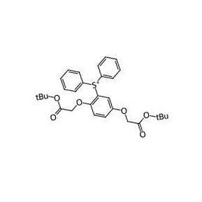 CC(C)(C)OC(=O)COc1ccc(OCC(=O)OC(C)(C)C)c([S+](c2ccccc2)c2ccccc2)c1